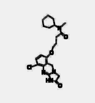 CN(C(=O)CCCOc1ccc(Cl)c2c1CN1CC(=O)NC1=N2)C1CCCCC1